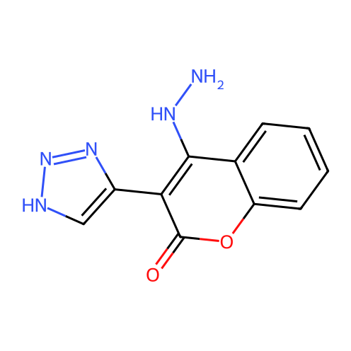 NNc1c(-c2c[nH]nn2)c(=O)oc2ccccc12